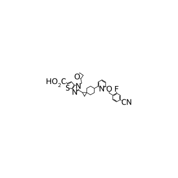 N#Cc1ccc(COc2cccc(C3CCC4(CC3)CC4c3nc4sc(C(=O)O)cc4n3CC3CCO3)n2)c(F)c1